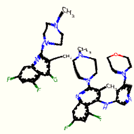 Cc1c(N2CCN(C)CC2)nc2cc(F)cc(F)c2c1Cl.Cc1c(N2CCN(C)CC2)nc2cc(F)cc(F)c2c1Nc1cncc(N2CCOCC2)c1